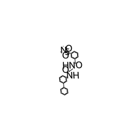 CN(C)S(=O)(=O)c1cccc(C(=O)NCC(=O)Nc2cccc(-c3ccccc3)c2)c1